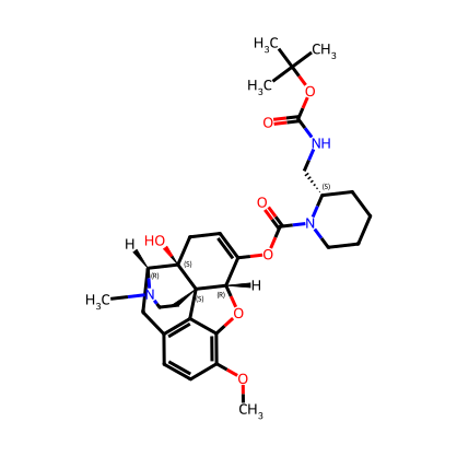 COc1ccc2c3c1O[C@H]1C(OC(=O)N4CCCC[C@H]4CNC(=O)OC(C)(C)C)=CC[C@@]4(O)[C@@H](C2)N(C)CC[C@]314